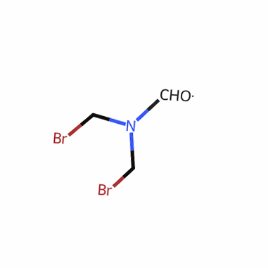 O=[C]N(CBr)CBr